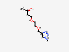 CC(C)C(=O)CCOCCOCc1cn(C)nn1